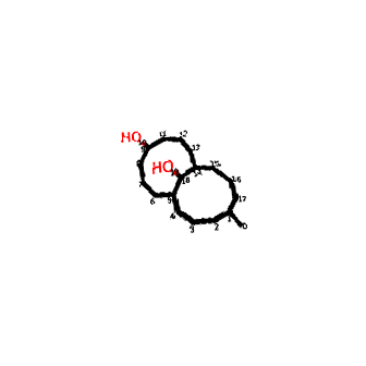 CC1CCCC2CCCC(O)CCCC(CCC1)C2O